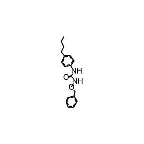 CCCCc1ccc(NC(=O)NOCc2ccccc2)cc1